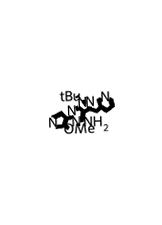 COc1cnccc1-c1nc(N)c2c(Cc3cccnc3)nn(C(C)(C)C)c2n1